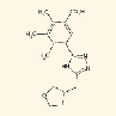 Cc1c(C(=O)O)cc(-c2nnc(CC3CCOC3)[nH]2)c(C)c1C